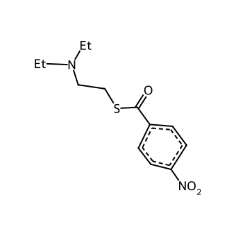 CCN(CC)CCSC(=O)c1ccc([N+](=O)[O-])cc1